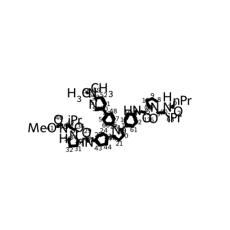 CCCC(=O)N[C@H](C(=O)N1CCC[C@H]1C(=O)Nc1ccc([C@H]2CC[C@H](c3ccc(NC(=O)[C@@H]4CCCN4C(=O)[C@@H](NC(=O)OC)C(C)C)cc3)N2c2ccc(-c3ccc(N(C)C)nc3)cc2)cc1)C(C)C